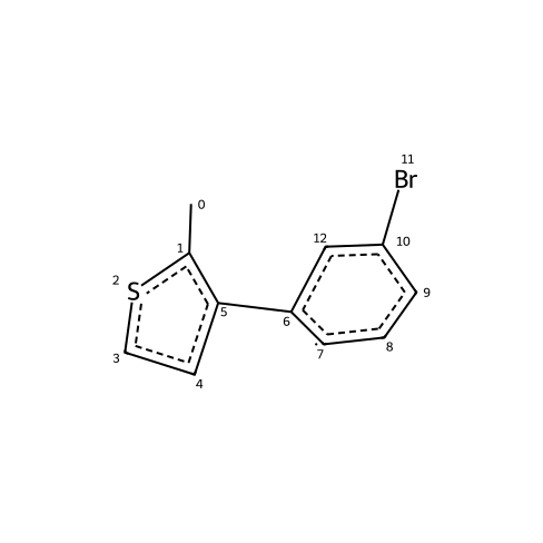 Cc1sccc1-c1[c]ccc(Br)c1